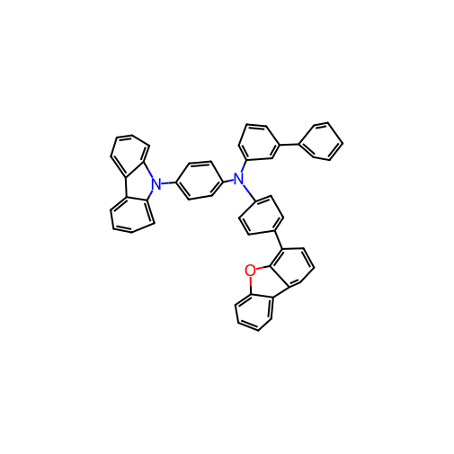 c1ccc(-c2cccc(N(c3ccc(-c4cccc5c4oc4ccccc45)cc3)c3ccc(-n4c5ccccc5c5ccccc54)cc3)c2)cc1